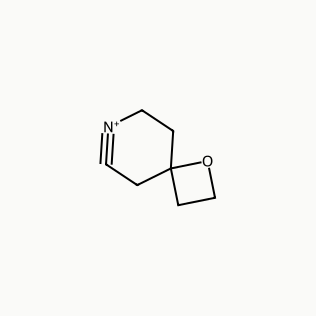 C1#[N+]CCC2(C1)CCO2